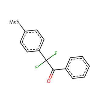 CSc1ccc(C(F)(F)C(=O)c2ccccc2)cc1